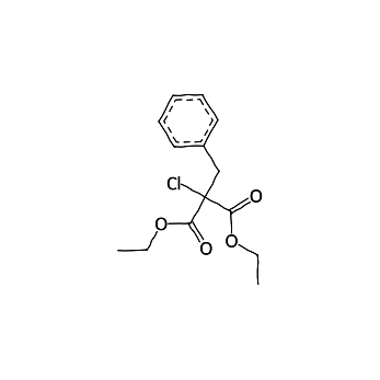 CCOC(=O)C(Cl)(Cc1ccccc1)C(=O)OCC